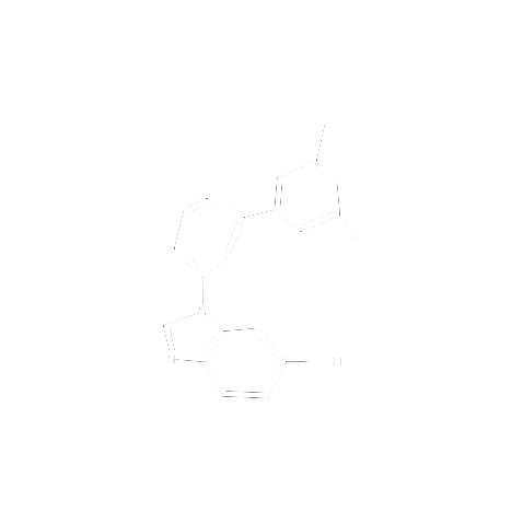 Cc1cc(C)cc(-c2cccc(-n3cnc4ccc(C(=O)O)cc43)c2)c1